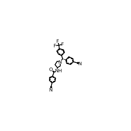 N#Cc1ccc(C(=O)NC2CCN([C@H](c3ccc(C#N)cc3)c3ccc(C(F)(F)F)cc3)C2)cc1